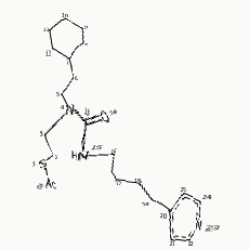 CC(=O)SCCN(CCC1CCCCC1)C(=O)NCCCCc1ccncc1